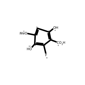 COc1cc(O)c(C(=O)O)c(F)c1O